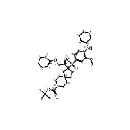 COc1cc(S(=O)(=O)C2(C(=O)NOC3CCCCO3)CCC3(CCN(C(=O)OC(C)(C)C)CC3)C2)ccc1NC1CCCCC1